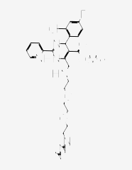 COC(=O)C1=C(CNCCOCCOCCN=[N+]=[N-])NC(c2ccccn2)=NC1c1ccc(F)cc1Cl